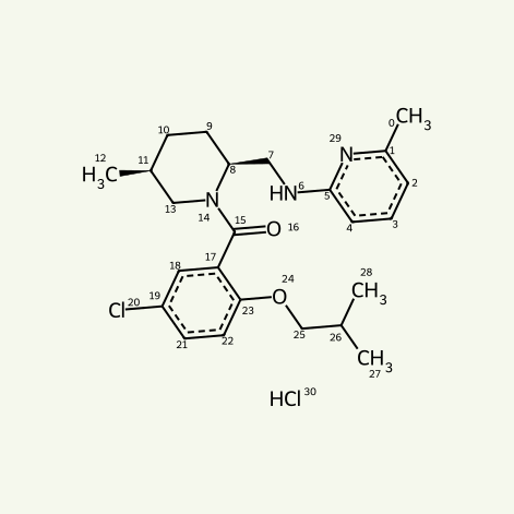 Cc1cccc(NC[C@@H]2CC[C@H](C)CN2C(=O)c2cc(Cl)ccc2OCC(C)C)n1.Cl